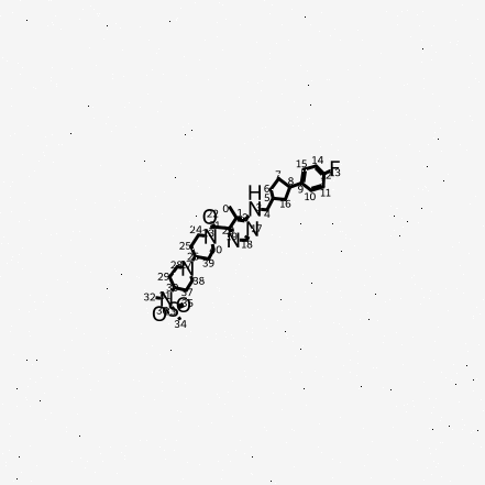 Cc1c(NCC2CCC(c3ccc(F)cc3)C2)ncnc1C(=O)N1CCC(N2CCC(N(C)S(C)(=O)=O)CC2)CC1